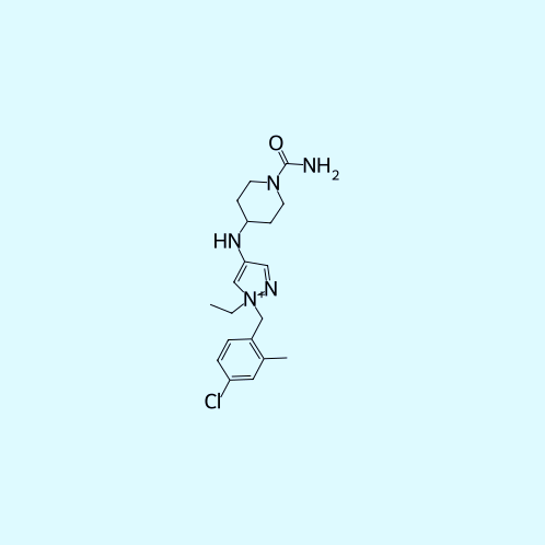 CC[N+]1(Cc2ccc(Cl)cc2C)C=C(NC2CCN(C(N)=O)CC2)C=N1